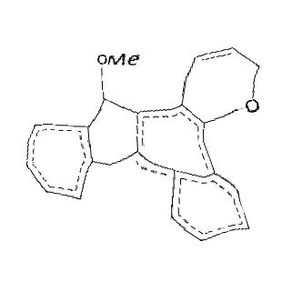 COC1c2ccccc2-c2c1c1c(c3ccccc23)OCC=C1